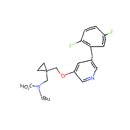 CC(C)(C)N(CC1(COc2cncc(-c3cc(F)ccc3F)c2)CC1)C(=O)O